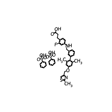 Cc1nc(COc2cc(C)c(-c3cccc(CNc4ccc(CCC(=O)O)c(F)c4)c3)c(C)c2)cs1.O=S(=O)(O)c1ccccc1.O=S(=O)(O)c1ccccc1